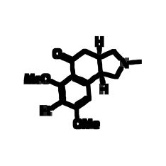 CCc1c(OC)cc2c(c1OC)C(=O)C[C@@H]1CN(C)C[C@H]21